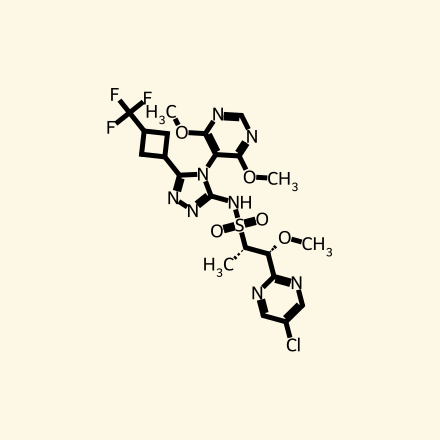 COc1ncnc(OC)c1-n1c(NS(=O)(=O)[C@@H](C)[C@H](OC)c2ncc(Cl)cn2)nnc1C1CC(C(F)(F)F)C1